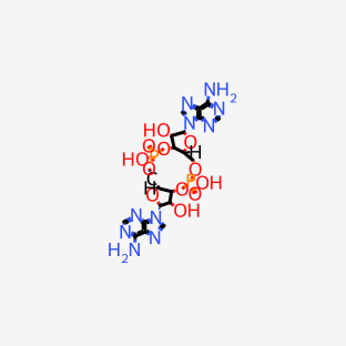 Nc1ncnc2c1ncn2[C@@H]1O[C@@H]2COP(=O)(O)OC3C(O)[C@H](n4cnc5c(N)ncnc54)O[C@@H]3COP(=O)(O)OC2C1O